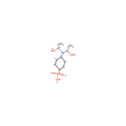 CC(O)N(c1ccc(S(=O)(=O)O)cc1)C(C)O